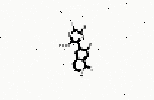 Nc1nc(F)c(Br)nc1-c1cc2cc[nH]c(=O)c2cc1F